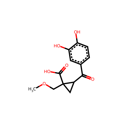 COCC1(C(=O)O)CC1C(=O)c1ccc(O)c(O)c1